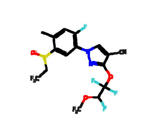 Cc1cc(F)c(-n2cc(C#N)c(OC(F)(F)C(F)OC(F)(F)F)n2)cc1[S+]([O-])CC(F)(F)F